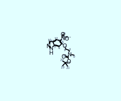 CN(CCOc1cc2[nH]ncc2cc1[N+](=O)[O-])C(=O)OC(C)(C)C